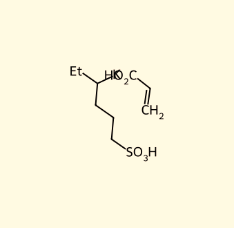 C=CC(=O)O.CC[CH]([K])CCCS(=O)(=O)O